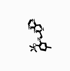 Cc1ccc(O[Si](C)(C)C)c(N=Cc2ncc3nccnc3n2)c1